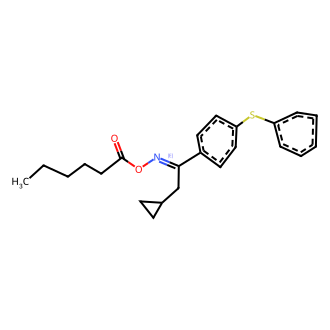 CCCCCC(=O)O/N=C(\CC1CC1)c1ccc(Sc2ccccc2)cc1